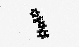 O=C(Nc1ccncc1)c1ccc(-c2cccc(F)c2)s1